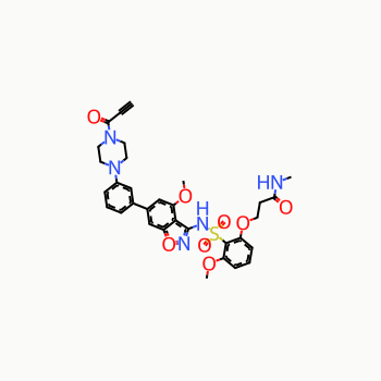 C#CC(=O)N1CCN(c2cccc(-c3cc(OC)c4c(NS(=O)(=O)c5c(OC)cccc5OCCC(=O)NC)noc4c3)c2)CC1